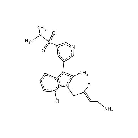 Cc1c(-c2cncc(S(=O)(=O)N(C)C)c2)c2cccc(Cl)c2n1CC(F)=CCN